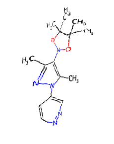 Cc1nn(-c2ccnnc2)c(C)c1N1OC(C)(C)C(C)(C)O1